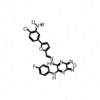 O=[N+]([O-])c1cc(-c2ccc(C=NNc3nc4nonc4nc3Nc3ccc(F)cc3)o2)ccc1Cl